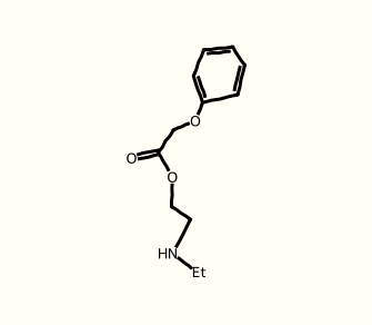 CCNCCOC(=O)COc1ccccc1